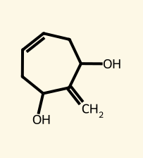 C=C1C(O)CC=CCC1O